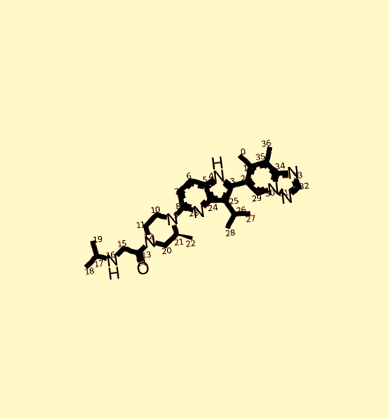 Cc1c(-c2[nH]c3ccc(N4CCN(C(=O)CNC(C)C)C[C@@H]4C)nc3c2C(C)C)cn2ncnc2c1C